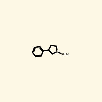 CC(=O)NN1CCC(c2ccccc2)C1